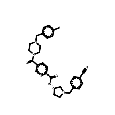 N#Cc1ccc(CN2CC[C@H](NC(=O)c3ccc(C(=O)N4CCN(Cc5ccc(F)cc5)CC4)cn3)C2)cc1